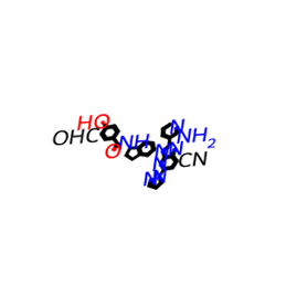 N#Cc1cc(-n2cccn2)nc2c1nc(-c1cccnc1N)n2-c1ccc2c(c1)CC[C@@H]2NC(=O)c1ccc(O)c(C=O)c1